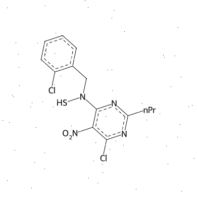 CCCc1nc(Cl)c([N+](=O)[O-])c(N(S)Cc2ccccc2Cl)n1